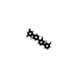 Cc1cc(C)c2oc3cc(-c4ccc5c(oc6c(C)cccc65)c4C)ccc3c2c1